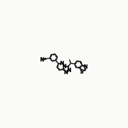 CC(c1ccc2ncsc2c1)c1nnc2ccc(-c3cccc(C#N)c3)nn12